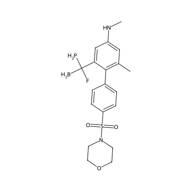 BC(F)(P)c1cc(NC)cc(C)c1-c1ccc(S(=O)(=O)N2CCOCC2)cc1